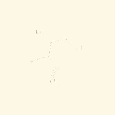 C=CC(F)C(CC)O[SiH3]